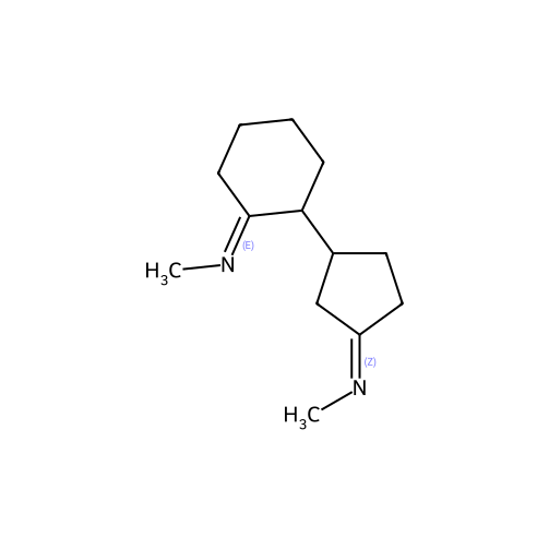 C/N=C1/CCC(C2CCCC/C2=N\C)C1